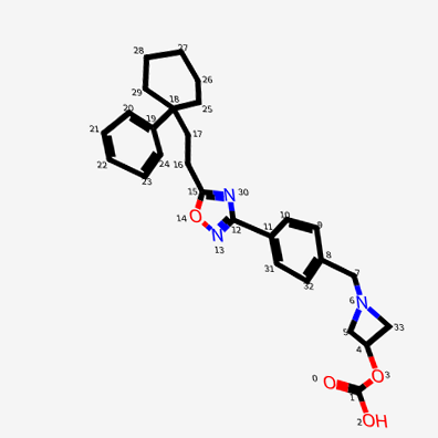 O=C(O)OC1CN(Cc2ccc(-c3noc(CCC4(c5ccccc5)CCCCC4)n3)cc2)C1